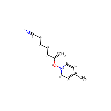 C=C(CCCCC#N)ON1C=CC(C)=CC1